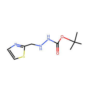 CC(C)(C)OC(=O)NNCc1nccs1